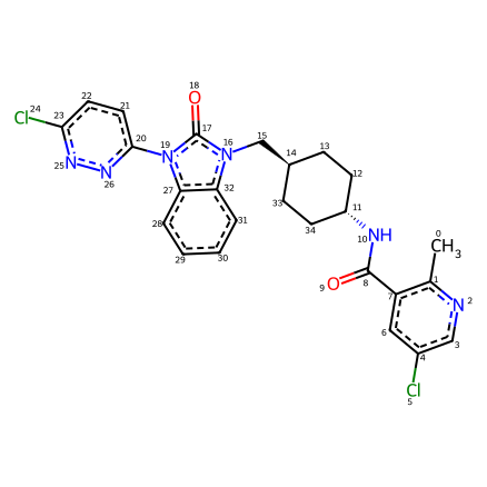 Cc1ncc(Cl)cc1C(=O)N[C@H]1CC[C@H](Cn2c(=O)n(-c3ccc(Cl)nn3)c3ccccc32)CC1